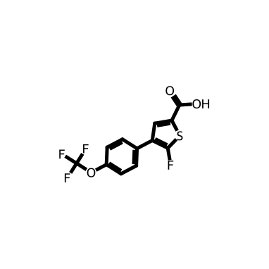 O=C(O)c1cc(-c2ccc(OC(F)(F)F)cc2)c(F)s1